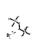 C[P+](C)(C)CC[P+](C)(C)C.[Br-].[Br-]